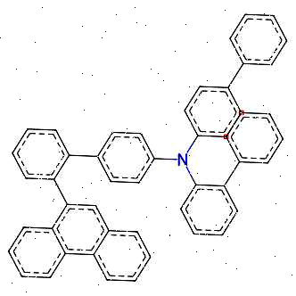 c1ccc(-c2ccc(N(c3ccc(-c4ccccc4-c4cc5ccccc5c5ccccc45)cc3)c3ccccc3-c3ccccc3)cc2)cc1